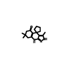 Cc1[nH]nc2c1C1(CCCC1)C1=C(CC(C)(C)CC1=O)N2